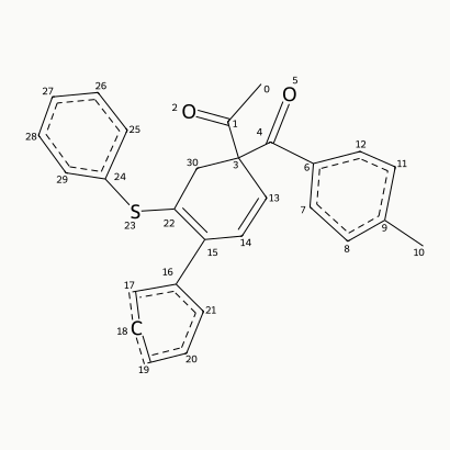 CC(=O)C1(C(=O)c2ccc(C)cc2)C=CC(c2ccccc2)=C(Sc2ccccc2)C1